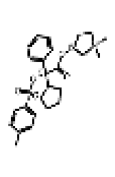 Cc1ccc(S(=O)(=O)O[C@@](C(=O)O[C@@H]2CC[N+](C)(C)C2)(c2ccccc2)C2CCCC2)cc1